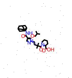 CC(C)COc1c(C(=O)NC2C3CC4CC(C3)CC2C4)cnn1/C=C/C(C)(C)C(=O)N1CCCCC1C(=O)O